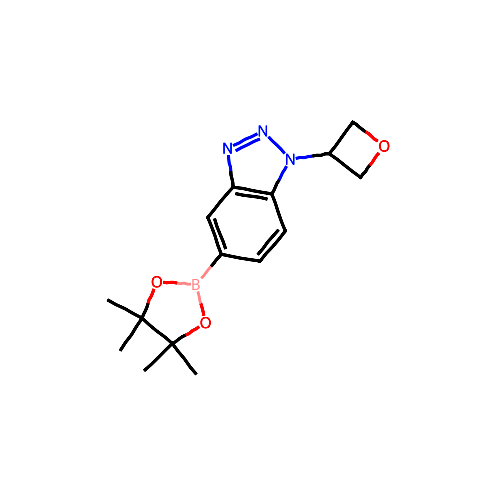 CC1(C)OB(c2ccc3c(c2)nnn3C2COC2)OC1(C)C